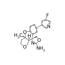 C[C@]12CCOC[C@H]1[C@]1(COC(N)=N1)c1cc(-c3cncc(F)c3)ccc1O2